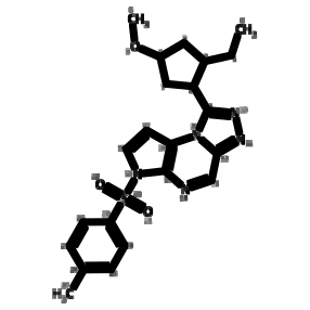 CCC1CC(OC)CC1c1nnc2cnc3c(ccn3S(=O)(=O)c3ccc(C)cc3)n12